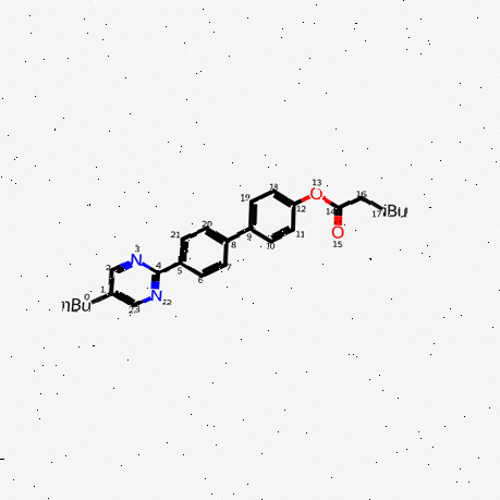 CCCCc1cnc(-c2ccc(-c3ccc(OC(=O)CC(C)CC)cc3)cc2)nc1